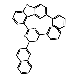 c1ccc(C2=NC(c3cccc4oc5ccc(-c6ccccc6)cc5c34)=NC(c3ccc4ccccc4c3)N2)cc1